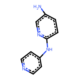 Nc1ccc(Nc2ccncc2)nc1